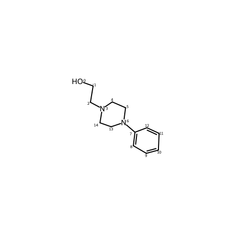 O[CH]CN1CCN(c2ccccc2)CC1